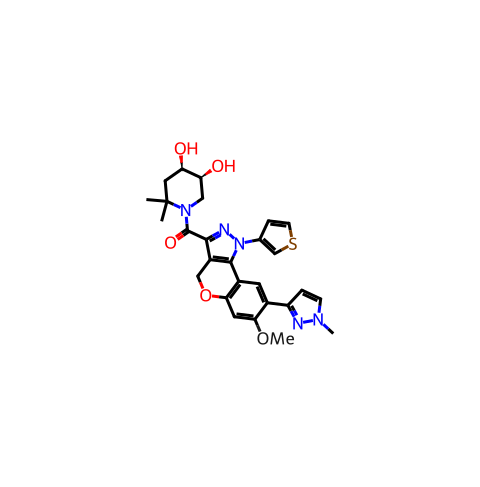 COc1cc2c(cc1-c1ccn(C)n1)-c1c(c(C(=O)N3C[C@H](O)[C@H](O)CC3(C)C)nn1-c1ccsc1)CO2